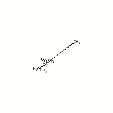 CCCCCCCCCCCCCCCCCC(=O)OCC(OC=O)C(=O)OCCC(C)C